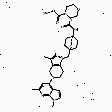 Cc1cc(N2CCc3c(c(C)nn3CC34CCC(NC(=O)[C@@H]5COCCN5C(=O)OC(C)(C)C)(CC3)CC4)C2)c2ccn(C)c2n1